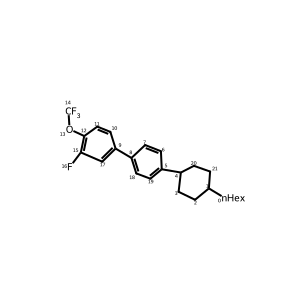 CCCCCCC1CCC(c2ccc(-c3ccc(OC(F)(F)F)c(F)c3)cc2)CC1